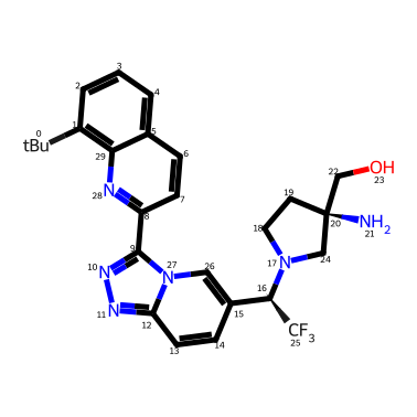 CC(C)(C)c1cccc2ccc(-c3nnc4ccc([C@@H](N5CC[C@](N)(CO)C5)C(F)(F)F)cn34)nc12